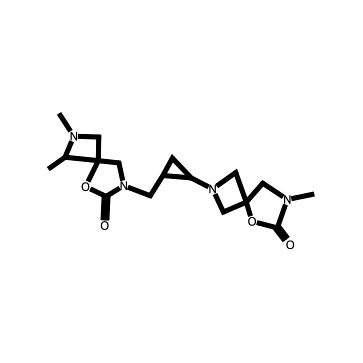 CC1N(C)CC12CN(CC1CC1N1CC3(CN(C)C(=O)O3)C1)C(=O)O2